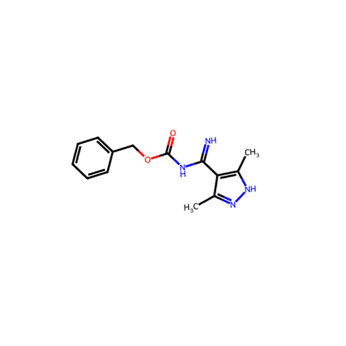 Cc1n[nH]c(C)c1C(=N)NC(=O)OCc1ccccc1